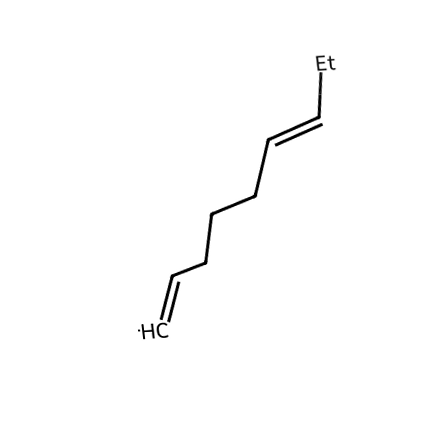 [CH]=CCCCC=CC[CH2]